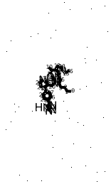 CCCCc1cn(-c2c(C(C)C)ccn2CC)c(=O)n1Cc1cnccc1-c1ccc(-c2nnn[nH]2)cc1